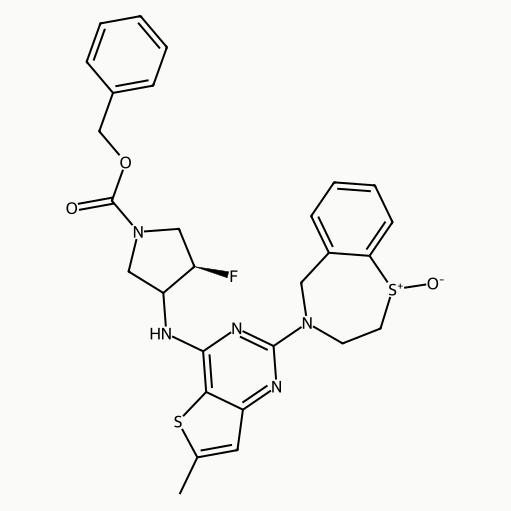 Cc1cc2nc(N3CC[S+]([O-])c4ccccc4C3)nc(NC3CN(C(=O)OCc4ccccc4)C[C@H]3F)c2s1